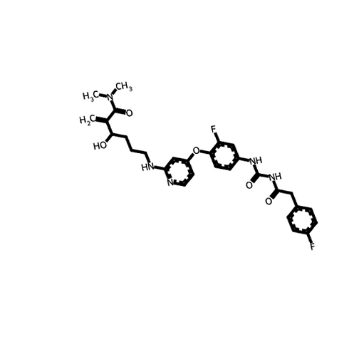 C=C(C(=O)N(C)C)C(O)CCCNc1cc(Oc2ccc(NC(=O)NC(=O)Cc3ccc(F)cc3)cc2F)ccn1